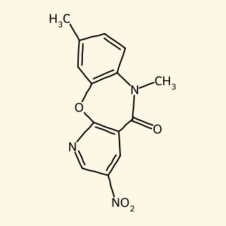 Cc1ccc2c(c1)Oc1ncc([N+](=O)[O-])cc1C(=O)N2C